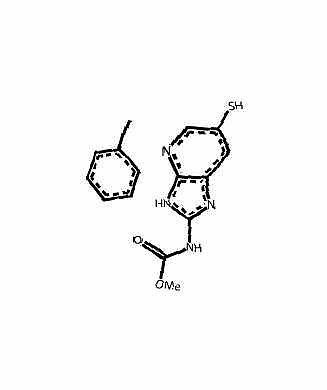 COC(=O)Nc1nc2cc(S)cnc2[nH]1.Cc1ccccc1